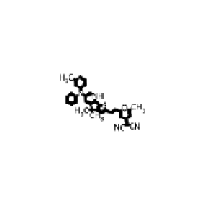 CC1=CC(=C(C#N)C#N)C=C(/C=C/c2cc3c(s2)C2NC=C(N(C4=CC=CC(C)C4)c4ccccc4)C=C2C3(C)C)O1